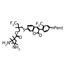 CCCCCc1ccc(-c2cc3ccc(SCC(C)(COC(=O)C(C)(CC(C)(C)N)C(C)(C)N)CC(F)(F)F)cc3oc2=O)c(C(F)(F)F)c1